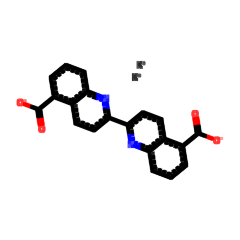 O=C([O-])c1cccc2nc(-c3ccc4c(C(=O)[O-])cccc4n3)ccc12.[K+].[K+]